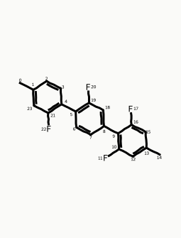 Cc1ccc(-c2ccc(-c3c(F)cc(C)cc3F)cc2F)c(F)c1